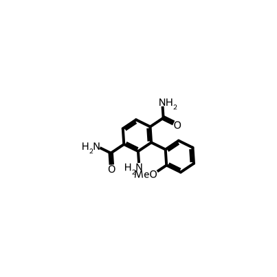 COc1ccccc1-c1c(C(N)=O)ccc(C(N)=O)c1N